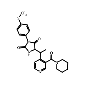 CC(c1ccncc1C(=O)N1CCCCC1)C1NC(=O)N(c2ccc(SC(F)(F)F)cc2)C1=O